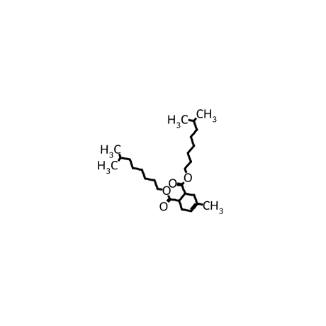 CC1=CCC(C(=O)OCCCCCCC(C)C)C(C(=O)OCCCCCCC(C)C)C1